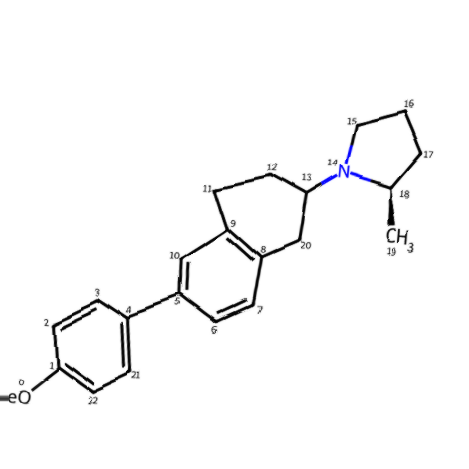 COc1ccc(-c2ccc3c(c2)CCC(N2CCC[C@H]2C)C3)cc1